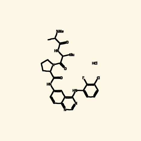 CNC(C)C(=O)NC(C(=O)N1CCCC1C(=O)Nc1ccc2ncnc(Nc3cccc(Cl)c3F)c2c1)C(C)(C)C.Cl